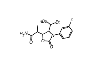 CCCCC(CC)C1C(C(C)C(N)=O)OC(=O)N1c1cccc(F)c1